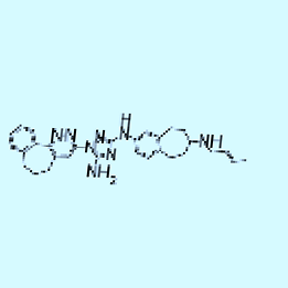 CC=CCNC1CCc2ccc(Nc3nc(N)n(-c4cc5c(nn4)-c4ccccc4CCC5)n3)cc2CC1